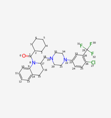 O=C(C1CCCCC1)N1c2ccccc2CCC1CN1CCN(c2ccc(Cl)c(C(F)(F)F)c2)CC1